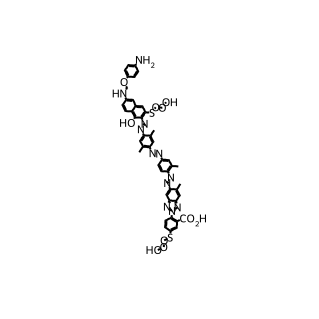 Cc1cc(N=Nc2c(SOOO)cc3cc(NCOc4ccc(N)cc4)ccc3c2O)c(C)cc1N=Nc1ccc(N=Nc2cc3nn(-c4ccc(SOOO)cc4C(=O)O)nc3cc2C)c(C)c1